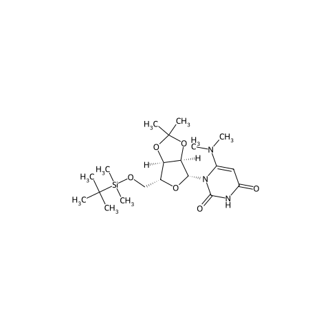 CN(C)c1cc(=O)[nH]c(=O)n1[C@@H]1O[C@H](CO[Si](C)(C)C(C)(C)C)[C@H]2OC(C)(C)O[C@H]21